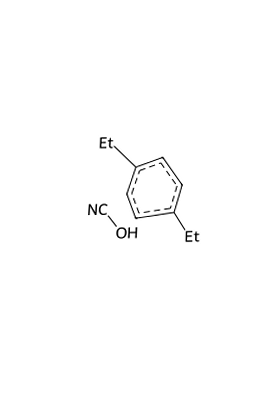 CCc1ccc(CC)cc1.N#CO